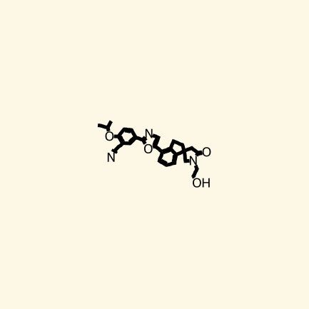 CC(C)Oc1ccc(-c2ncc(-c3cccc4c3CCC43CC(=O)N(CCO)C3)o2)cc1C#N